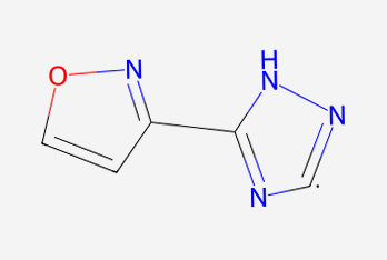 [c]1n[nH]c(-c2ccon2)n1